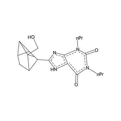 CCCn1c(=O)c2[nH]c(C3C4C5CC3C(C)(CO)C54)nc2n(CCC)c1=O